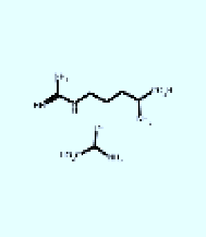 CC(C)C(N)C(=O)O.N=C(N)NCCCC(N)C(=O)O